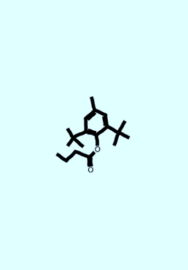 CCCC(=O)Oc1c(C(C)(C)C)cc(C)cc1C(C)(C)C